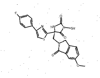 COc1ccc2c(c1)C(=O)N(C[C@@]1(c3nc(-c4ccc(F)cc4)cs3)NC(=O)N(S)C1=O)C2